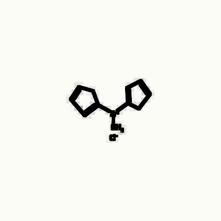 [Cl-].[SiH3][Zr+]([C]1=CC=CC1)[C]1=CC=CC1